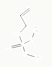 C=CCOP(=S)(OCCCC)OCCCC